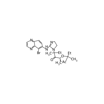 CCC(C)(O[C@@H](C)C(=O)C(C)(CC)N1CCN=C1Nc1ccc2nccnc2c1Br)C(C)=O